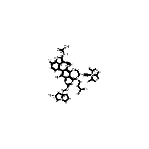 CC(C)[Si](C#C[C@H]1COc2c(Cl)c(-c3ccc(F)c4sc(NC(=O)O)c(C#N)c34)c(F)c3nc(OC[C@@]45CCCN4C[C@H](F)C5)nc(c23)N1CCC(F)F)(C(C)C)C(C)C